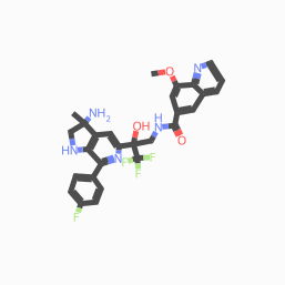 COc1cc(C(=O)NCC(O)(c2cc3c(c(-c4ccc(F)cc4)n2)NCC3(C)N)C(F)(F)F)cc2cccnc12